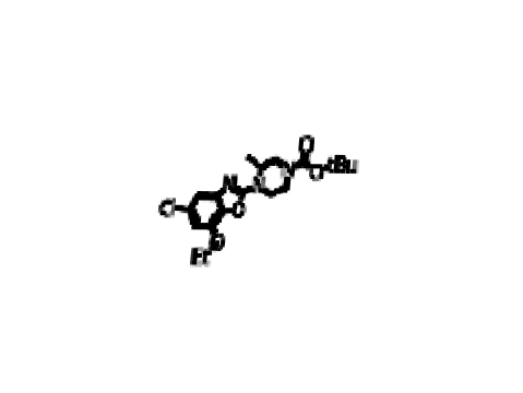 CCOc1cc(Cl)cc2nc(N3CCN(C(=O)OC(C)(C)C)C[C@@H]3C)oc12